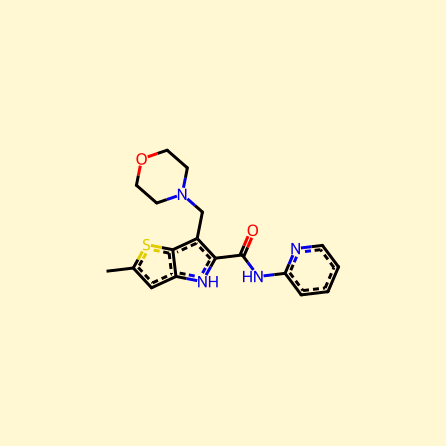 Cc1cc2[nH]c(C(=O)Nc3ccccn3)c(CN3CCOCC3)c2s1